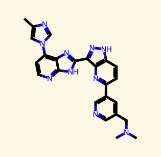 Cc1cn(-c2ccnc3[nH]c(-c4n[nH]c5ccc(-c6cncc(CN(C)C)c6)nc45)nc23)cn1